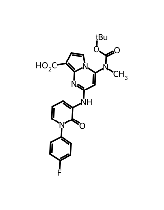 CN(C(=O)OC(C)(C)C)c1cc(Nc2cccn(-c3ccc(F)cc3)c2=O)nc2c(C(=O)O)ccn12